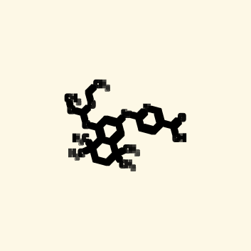 CCOC(OC)Oc1cc([Se]c2ccc(C(=O)O)cn2)cc2c1C(C)(C)CCC2(C)C